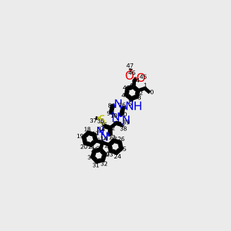 CCc1cc(Nc2nccn3c(-c4cn(C(c5ccccc5)(c5ccccc5)c5ccccc5)nc4SC)cnc23)ccc1C(=O)OC